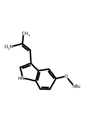 CCCCOc1ccc2[nH]cc(/C=C(/C)[N+](=O)[O-])c2c1